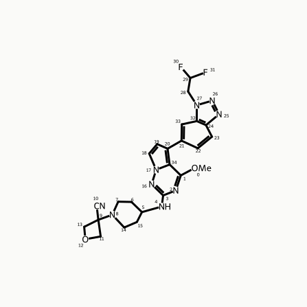 COc1nc(NC2CCN(C3(C#N)COC3)CC2)nn2ccc(-c3ccc4nnn(CC(F)F)c4c3)c12